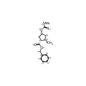 CSC(=S)O[C@@H]1C[C@@H](C(=O)OCc2ccccc2)N(C)C1